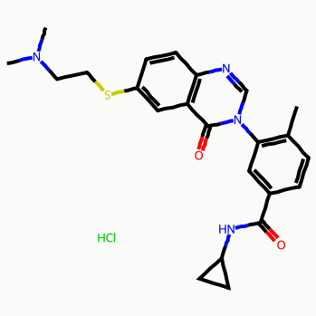 Cc1ccc(C(=O)NC2CC2)cc1-n1cnc2ccc(SCCN(C)C)cc2c1=O.Cl